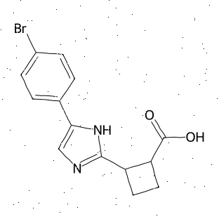 O=C(O)C1CCC1c1ncc(-c2ccc(Br)cc2)[nH]1